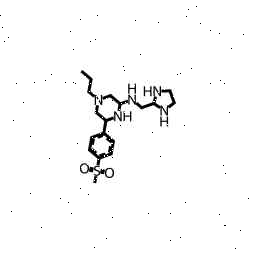 CCCN1CC(NCC2NCCN2)NC(c2ccc(S(C)(=O)=O)cc2)C1